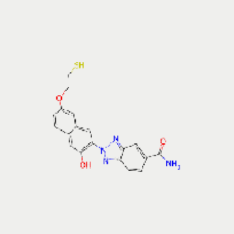 NC(=O)c1ccc2nn(-c3cc4cc(OCCS)ccc4cc3O)nc2c1